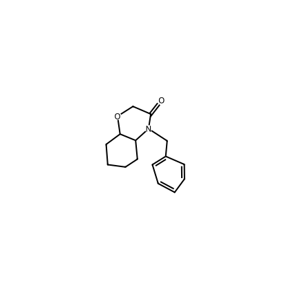 O=C1COC2CCCCC2N1Cc1ccccc1